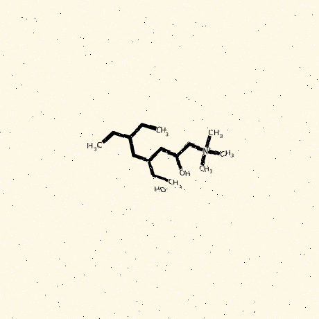 CCC(CC)CC(CC)CC(O)C[N+](C)(C)C.[OH-]